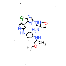 COC[C@@H](C)N[C@H]1CC[C@H](Nc2cc(-c3nc(NCC4(N)CCOCC4)cnc3Cl)c(Cl)cn2)CC1